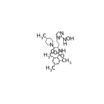 Cc1cc(C)c(S(=O)(=O)NC(CCn2ccnc2NO)C(=O)N2CCC(C)CC2)c(C)c1